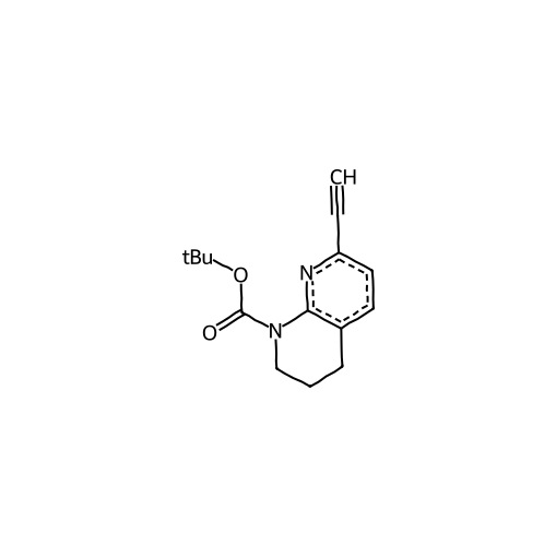 C#Cc1ccc2c(n1)N(C(=O)OC(C)(C)C)CCC2